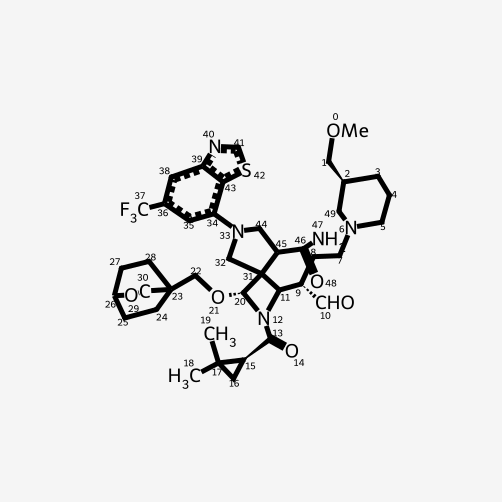 COC[C@H]1CCCN(CC[C@H](C=O)C2N(C(=O)[C@H]3CC3(C)C)[C@H](OCC34CCC(CC3)OC4)C23CN(c2cc(C(F)(F)F)cc4ncsc24)CC3C(N)=O)C1